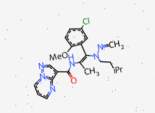 C=NN(CCC(C)C)/C(=C(\C)NC(=O)c1cnn2cccnc12)c1cc(Cl)ccc1OC